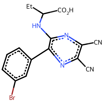 CCC(Nc1nc(C#N)c(C#N)nc1-c1cccc(Br)c1)C(=O)O